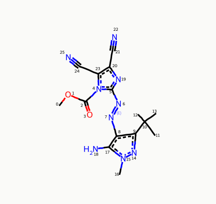 COC(=O)n1c(/N=N/c2c(C(C)(C)C)nn(C)c2N)nc(C#N)c1C#N